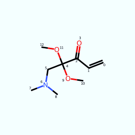 C=CC(=O)C(CN(C)C)(OC)OC